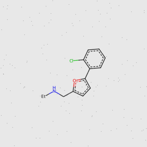 CCNCc1ccc(-c2ccccc2Cl)o1